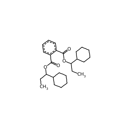 CCC(OC(=O)c1ccccc1C(=O)OC(CC)C1CCCCC1)C1CCCCC1